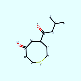 CC(C)CC(=O)C1CCSCCC(=O)C1